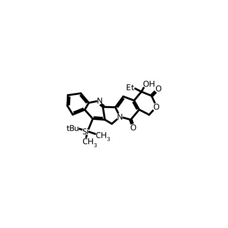 CCC1(O)C(=O)OCc2c1cc1n(c2=O)Cc2c-1nc1ccccc1c2[Si](C)(C)C(C)(C)C